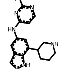 Nc1nccc(Nc2cc(C3CCCNC3)c3[nH]ncc3c2)n1